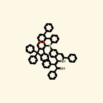 N=C(/C(=C1\NC(c2ccccc2)=Cc2cc(N(c3ccccc3-c3ccccc3-c3ccccc3)c3cccc4c3-c3ccccc3C4(c3ccccc3)c3ccccc3)ccc21)c1ccccc1)c1ccccc1